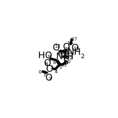 CC(=O)OCC1=C(C(=O)O)N2C(=O)[C@@](N)(OC(C)=O)[C@H]2SC1